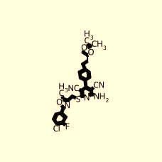 Cc1oc(-c2ccc(Cl)c(F)c2)nc1CSc1nc(N)c(C#N)c(-c2ccc(CC[C@H]3COC(C)(C)O3)cc2)c1C#N